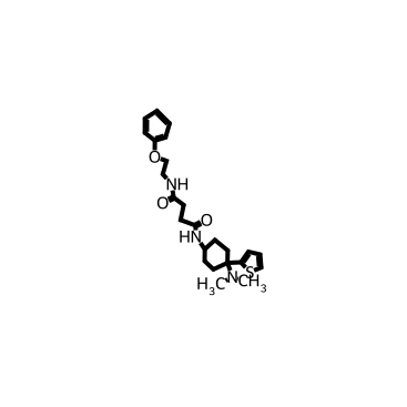 CN(C)C1(c2cccs2)CCC(NC(=O)CCC(=O)NCCOc2ccccc2)CC1